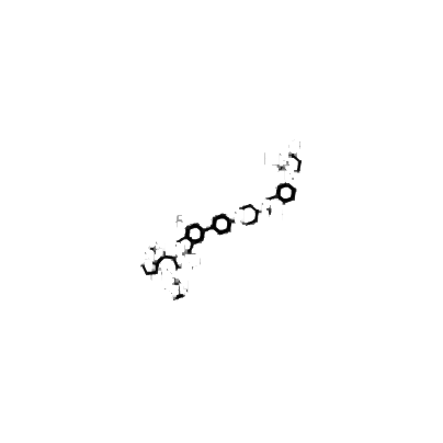 CN(Cc1cccc(N2CCC(=O)NC2=O)c1)C1CCN(c2ccc(-c3cc(F)c4c(c3)C(=O)N(C(C(=O)Nc3nccs3)c3ncn5c3CCC5)C4)cc2)CC1